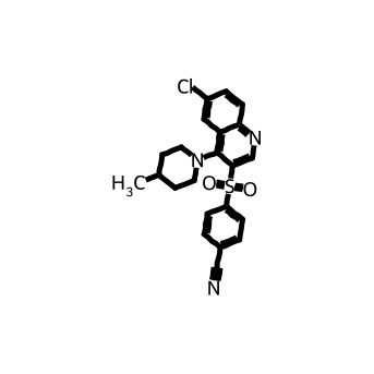 CC1CCN(c2c(S(=O)(=O)c3ccc(C#N)cc3)cnc3ccc(Cl)cc23)CC1